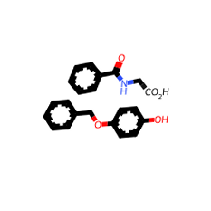 O=C(O)CNC(=O)c1ccccc1.Oc1ccc(OCc2ccccc2)cc1